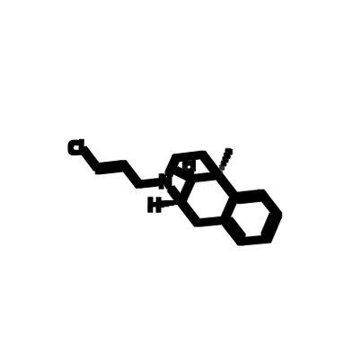 C[C@@H]1[C@H]2Cc3ccccc3[C@]1(C)CCN2CC=CCl